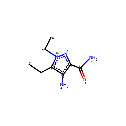 CCc1c(N)c(C(N)=O)nn1CC